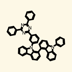 c1ccc(-c2nc(-c3ccccc3)nc(-c3cccc(-n4c5ccccc5c5cccc(-c6cccc7c6c6ccccc6n7-c6ccccc6)c54)c3)n2)cc1